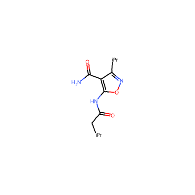 CC(C)CC(=O)Nc1onc(C(C)C)c1C(N)=O